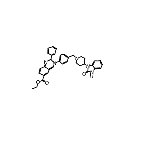 CCOC(=O)c1ccc2c(c1)=CN(c1ccc(CN3CCC(n4c(=O)[nH]c5ccccc54)CC3)cc1)C(c1ccccc1)N=2